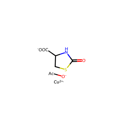 CC(=O)[O-].O=C1NC(C(=O)[O-])CS1.[Cu+2]